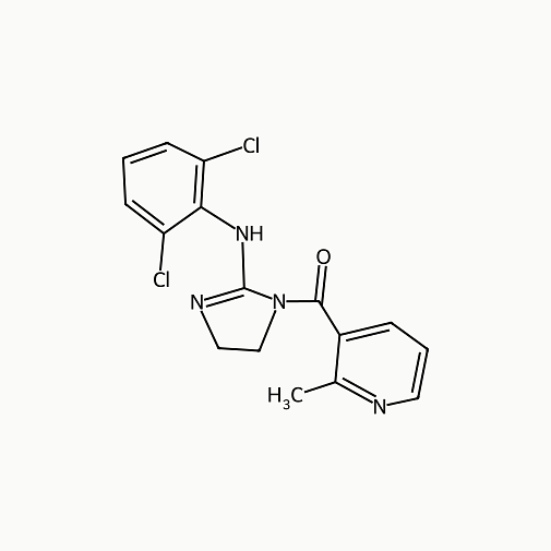 Cc1ncccc1C(=O)N1CCN=C1Nc1c(Cl)cccc1Cl